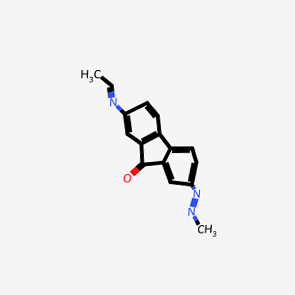 CC=Nc1ccc2c(c1)C(=O)c1cc(N=NC)ccc1-2